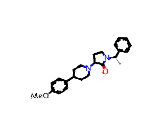 COc1ccc(C2CCN(C3CCN([C@@H](C)c4ccccc4)C3=O)CC2)cc1